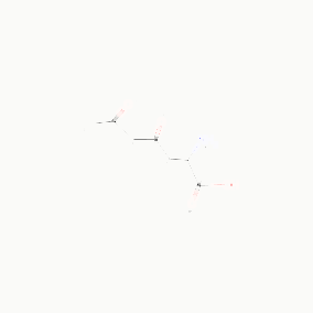 CC(=O)CC(=O)CC(N)C(=O)O